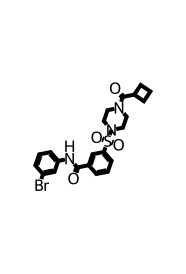 O=C(Nc1cccc(Br)c1)c1cccc(S(=O)(=O)N2CCN(C(=O)C3CCC3)CC2)c1